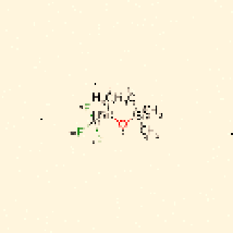 C[SiH](O[Si](C)(C)C)C(F)(F)F